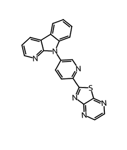 c1ccc2c(c1)c1cccnc1n2-c1ccc(-c2nc3nccnc3s2)nc1